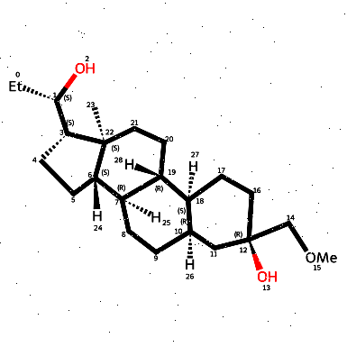 CC[C@H](O)[C@H]1CC[C@H]2[C@@H]3CC[C@@H]4C[C@@](O)(COC)CC[C@@H]4[C@H]3CC[C@]12C